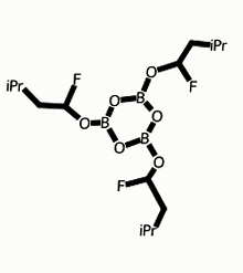 CC(C)CC(F)OB1OB(OC(F)CC(C)C)OB(OC(F)CC(C)C)O1